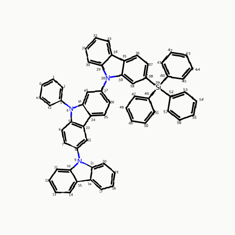 c1ccc(-n2c3ccc(-n4c5ccccc5c5ccccc54)cc3c3ccc(-n4c5ccccc5c5ccc([Si](c6ccccc6)(c6ccccc6)c6ccccc6)cc54)cc32)cc1